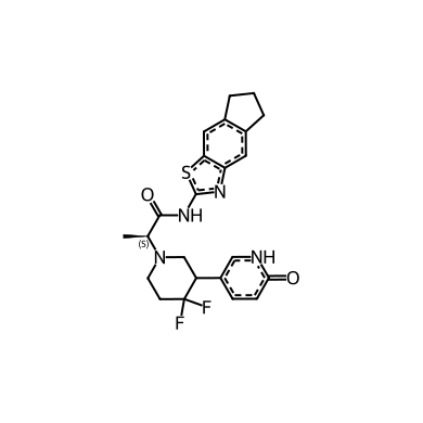 C[C@@H](C(=O)Nc1nc2cc3c(cc2s1)CCC3)N1CCC(F)(F)C(c2ccc(=O)[nH]c2)C1